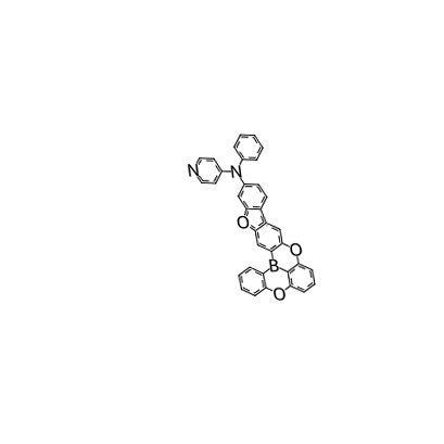 c1ccc(N(c2ccncc2)c2ccc3c(c2)oc2cc4c(cc23)Oc2cccc3c2B4c2ccccc2O3)cc1